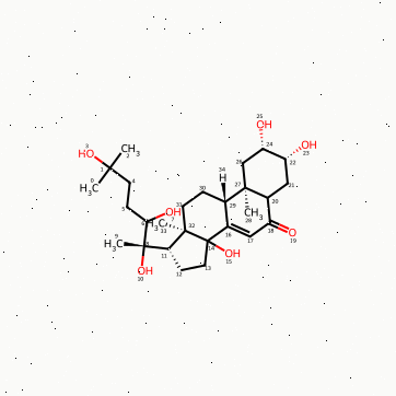 CC(C)(O)CCC(O)[C@@](C)(O)[C@H]1CCC2(O)C3=CC(=O)C4C[C@@H](O)[C@@H](O)C[C@]4(C)[C@H]3CC[C@]12C